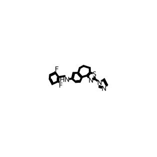 Fc1cccc(F)c1CNc1ccc2c(c1)CCCc1sc(-n3ccnc3)nc1-2